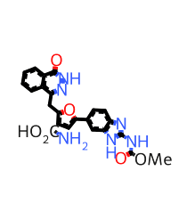 COC(=O)Nc1nc2ccc(-c3ccc(Cc4n[nH]c(=O)c5ccccc45)o3)cc2[nH]1.NC(=O)O